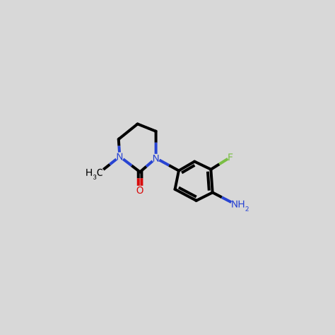 CN1CCCN(c2ccc(N)c(F)c2)C1=O